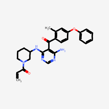 C=CC(=O)N1CCCC(Nc2ncnc(N)c2C(=O)c2ccc(Oc3ccccc3)cc2C)C1